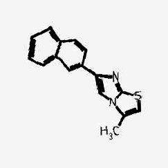 Cc1csc2nc(-c3ccc4ccccc4c3)cn12